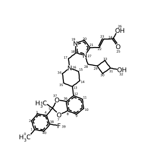 Cc1ccc(C2(C)Oc3cccc(C4CCN(Cc5ncc(/C=C/C(=O)O)n5CC5CC(O)C5)CC4)c3O2)c(F)c1